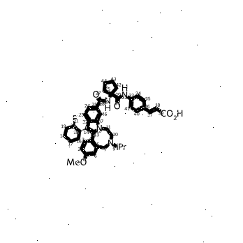 COc1ccc2c(c1)CN(C(C)C)CCn1c-2c([C@@H]2CCCC[C@H]2F)c2ccc(C(=O)NC3(C(=O)Nc4ccc(/C=C/C(=O)O)cc4)CCCC3)cc21